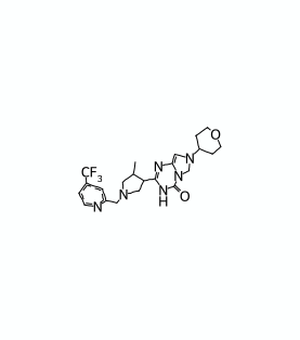 CC1CN(Cc2cc(C(F)(F)F)ccn2)CC1C1=NC2=CN(C3CCOCC3)CN2C(=O)N1